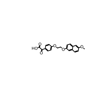 COc1ccc2cc(OCCOc3ccc(C(=O)C(=O)O)cc3)ccc2c1